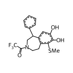 CSc1c(O)c(O)cc2c1CCN(C(=O)C(F)(F)F)CC2c1ccccc1